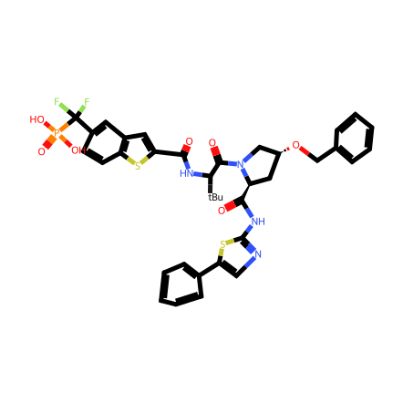 CC(C)(C)C(NC(=O)c1cc2cc(C(F)(F)P(=O)(O)O)ccc2s1)C(=O)N1C[C@H](OCc2ccccc2)C[C@H]1C(=O)Nc1ncc(-c2ccccc2)s1